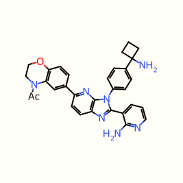 CC(=O)N1CCOc2ccc(-c3ccc4nc(-c5cccnc5N)n(-c5ccc(C6(N)CCC6)cc5)c4n3)cc21